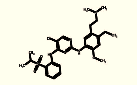 CCc1cc(OC)c(Nc2ncc(Cl)c(Nc3ccccc3S(=O)(=O)C(C)C)n2)cc1CCN(C)C